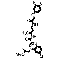 C=C(CCNC(=O)COc1ccc(Cl)c(F)c1)NC(=O)[C@@H]1CN(CC(=O)OC)c2cc(Cl)ccc2O1